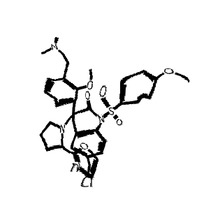 COc1ccc(S(=O)(=O)N2C(=O)C(c3cccc(CN(C)C)c3OC)(N3CCCC3c3ncco3)c3cc(Cl)ccc32)cc1